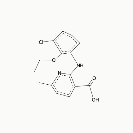 CCOc1c(Cl)cccc1Nc1nc(C)ccc1C(=O)O